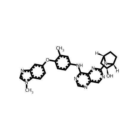 Cc1cc(Nc2ncnc3cnc(N4[C@H]5CC[C@@H]4[C@@H](O)C5)nc23)ccc1Oc1ccc2c(c1)ncn2C